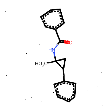 O=C(NC1(C(=O)O)CC1c1ccccc1)c1ccccc1